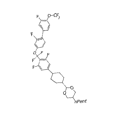 CCCCCC1COC(C2CCC(c3cc(F)c(C(F)(F)Oc4ccc(-c5ccc(OC(F)(F)F)c(F)c5)c(F)c4)c(F)c3)CC2)OC1